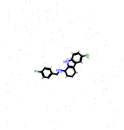 Fc1ccc(CNC2CCCc3c2[nH]c2ccc(Br)cc32)cc1